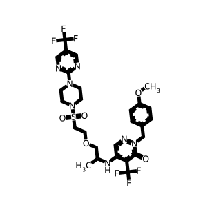 COc1ccc(Cn2ncc(NC(C)COCCS(=O)(=O)N3CCN(c4ncc(C(F)(F)F)cn4)CC3)c(C(F)(F)F)c2=O)cc1